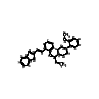 CCC(Oc1ccccc1C=Cc1nc2ccccc2s1)N1CCN(c2ccccc2OC)CC1